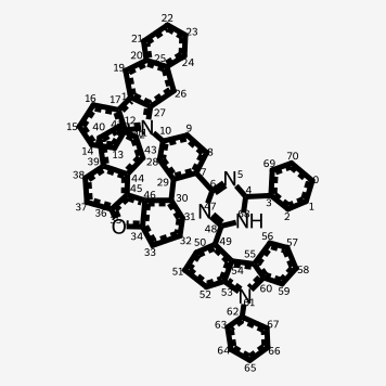 c1ccc(C2N=C(c3ccc(-n4c5ccccc5c5cc6ccccc6cc54)cc3-c3cccc4oc5ccc6ccccc6c5c34)N=C(c3cccc4c3c3ccccc3n4-c3ccccc3)N2)cc1